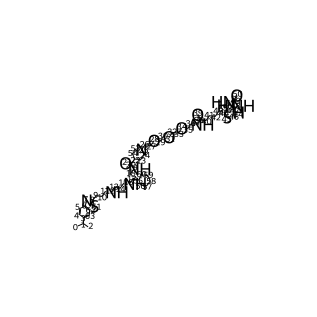 CC(C)c1ccc2nc(CCCNCCCN[C@H](CNC(=O)C3CCN(CCOCCOCCOCCNC(=O)CCCC[C@@H]4SC[C@@H]5NC(=O)N[C@@H]54)CC3)C3CCCCC3)sc2c1